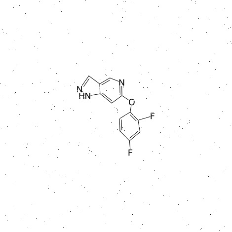 Fc1ccc(Oc2cc3[nH]ncc3cn2)c(F)c1